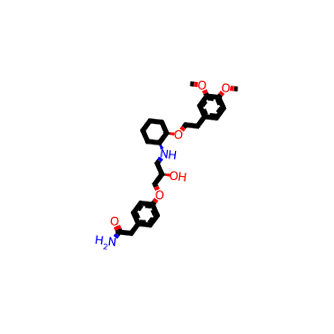 COc1ccc(CCO[C@@H]2CCCC[C@@H]2NC[C@@H](O)COc2ccc(CC(N)=O)cc2)cc1OC